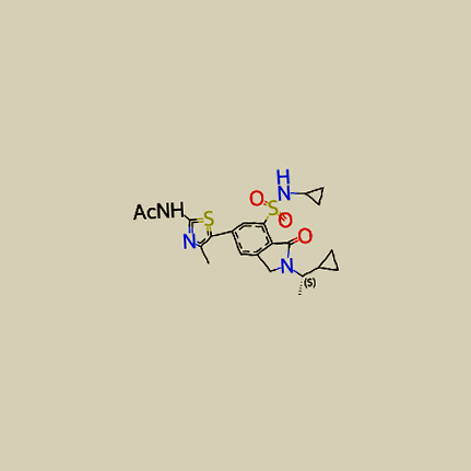 CC(=O)Nc1nc(C)c(-c2cc3c(c(S(=O)(=O)NC4CC4)c2)C(=O)N([C@@H](C)C2CC2)C3)s1